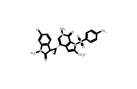 Cc1ccc(S(=O)(=O)n2c(C(=O)O)cc3c([C@@H]4C[C@@]45C(=O)N(C)c4cc(Cl)ccc45)cn(C)c(=O)c32)cc1